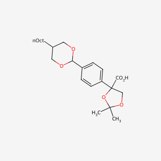 CCCCCCCCC1COC(c2ccc(C3(C(=O)O)COC(C)(C)O3)cc2)OC1